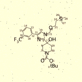 CC(C)(C)OC(=O)N1CCC(O)(c2nc(-c3cccc(C(F)(F)F)c3)cn2COCC[Si](C)(C)C)CC1